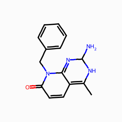 CC1=c2ccc(=O)n(Cc3ccccc3)c2=NC(N)N1